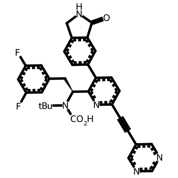 CC(C)(C)N(C(=O)O)[C@@H](Cc1cc(F)cc(F)c1)c1nc(C#Cc2cncnc2)ccc1-c1ccc2c(c1)C(=O)NC2